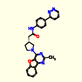 Cc1nc(N2CC[C@H](CC(=O)Nc3ccc(-c4cccnn4)cc3)C2)c2oc3ccccc3c2n1